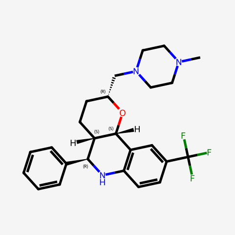 CN1CCN(C[C@H]2CC[C@@H]3[C@H](O2)c2cc(C(F)(F)F)ccc2N[C@H]3c2ccccc2)CC1